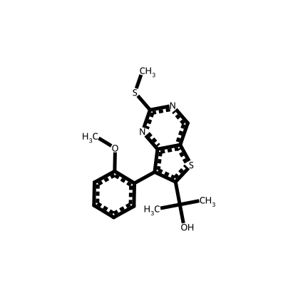 COc1ccccc1-c1c(C(C)(C)O)sc2cnc(SC)nc12